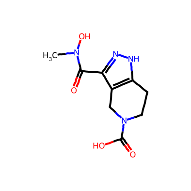 CN(O)C(=O)c1n[nH]c2c1CN(C(=O)O)CC2